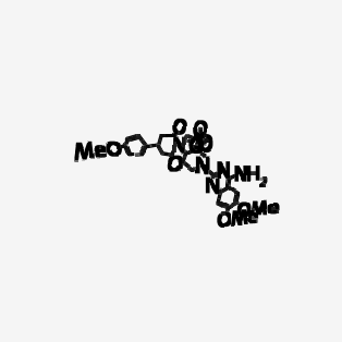 COc1ccc(C2CC(=O)[N+](CS(=O)(=O)[O-])(C3CCN(c4nc(N)c5cc(OC)c(OC)cc5n4)CC3)C(=O)C2)cc1